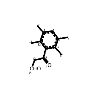 Cc1cc(C)c(C)c(C(=O)CC=O)c1C